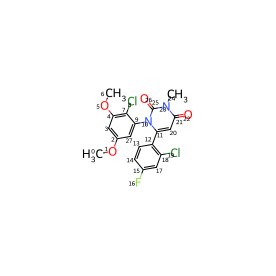 COc1cc(OC)c(Cl)c(-n2c(-c3ccc(F)cc3Cl)cc(=O)n(C)c2=O)c1